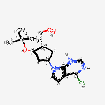 CC(C)(C)[Si](C)(C)O[C@H]1C[C@H](n2ccc3c(Cl)ncnc32)C[C@H]1CO